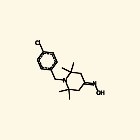 CC1(C)CC(=NO)CC(C)(C)N1Cc1ccc(Cl)cc1